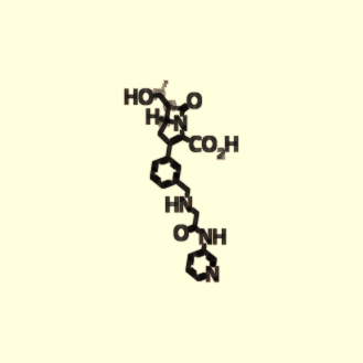 C[C@@H](O)[C@H]1C(=O)N2C(C(=O)O)=C(c3cccc(CNCC(=O)Nc4cccnc4)c3)C[C@H]12